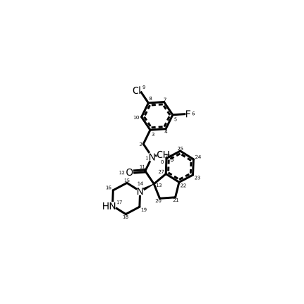 CN(Cc1cc(F)cc(Cl)c1)C(=O)[C@@]1(N2CCNCC2)CCc2ccccc21